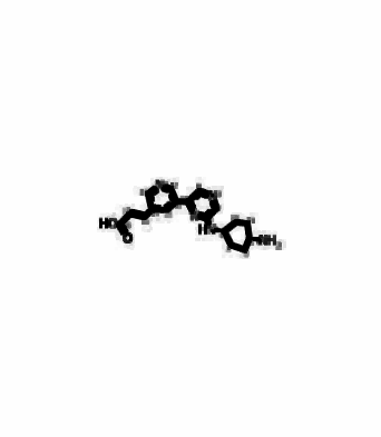 N[C@H]1CC[C@@H](Nc2cncc(-c3cncc(/C=C/C(=O)O)c3)n2)CC1